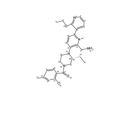 CCOc1ncccc1-c1ccc(N2CCN(C(=O)c3ccc(C)cc3Cl)C[C@H]2CC)c(CN)n1